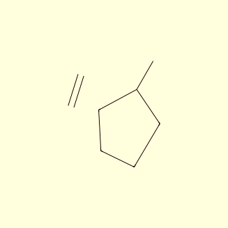 C=C.CC1CCCC1